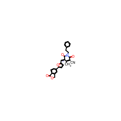 CC1=C(C#N)C(=O)N(CCc2ccccc2)C(=O)/C1=C/c1ccc(-c2ccc3c(c2)COC3=O)o1